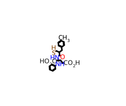 Cc1ccc(CC(CS)C(=O)N[C@](CCC(=O)O)(Nc2ccccc2)C(=O)O)cc1